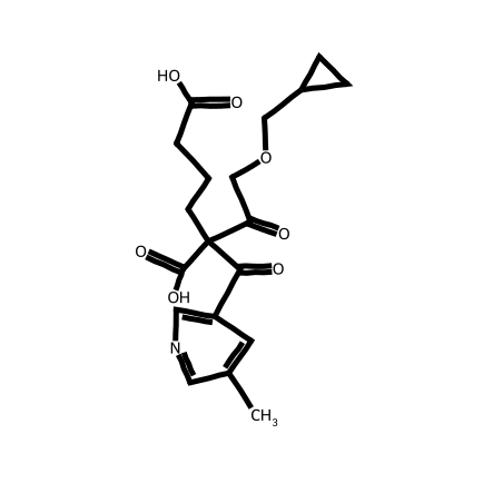 Cc1cncc(C(=O)C(CCCC(=O)O)(C(=O)O)C(=O)COCC2CC2)c1